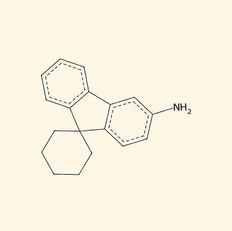 Nc1ccc2c(c1)-c1ccccc1C21CCCCC1